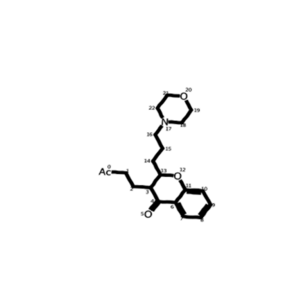 CC(=O)CCC1C(=O)c2ccccc2OC1CCCN1CCOCC1